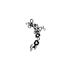 CC(C)N(C[C@@H]1NC(=O)NC1=O)S(=O)(=O)c1ccc(Oc2ccc(C(F)(F)F)cc2)cc1